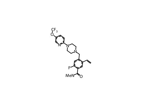 C=Cc1cc(C(=O)NC)c(F)cc1CN1CCN(c2ccc(OC(F)(F)F)cn2)CC1